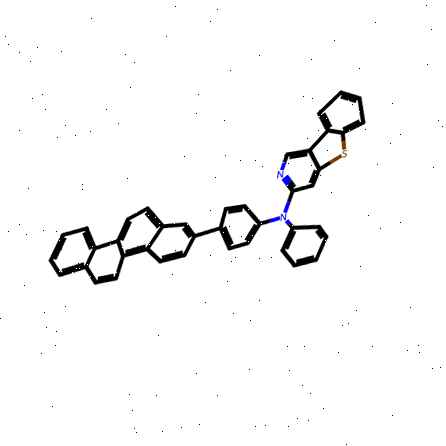 c1ccc(N(c2ccc(-c3ccc4c(ccc5c6ccccc6ccc45)c3)cc2)c2cc3sc4ccccc4c3cn2)cc1